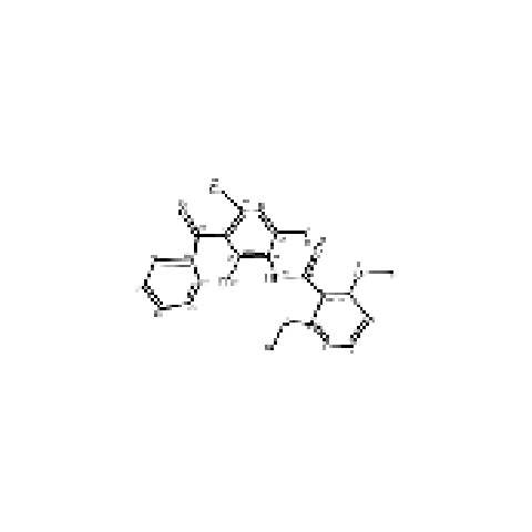 COc1cccc(OC)c1C(=O)Pc1c(Cl)cc(Cl)c(C(=O)c2ccccc2)c1Cl